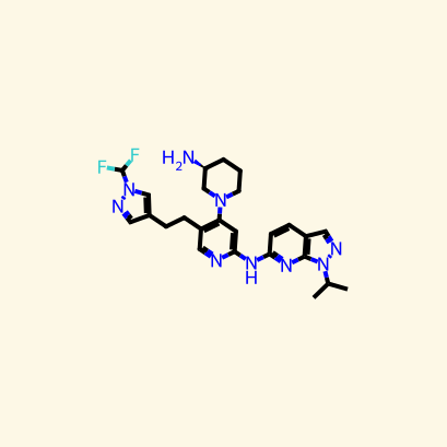 CC(C)n1ncc2ccc(Nc3cc(N4CCC[C@H](N)C4)c(CCc4cnn(C(F)F)c4)cn3)nc21